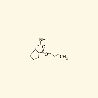 CCCCOC(=O)C1CCCCC1CC[NH]